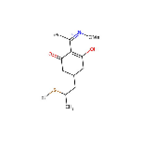 CCC/C(=N/OC)C1=C(O)CC(CC(C)SCC)CC1=O